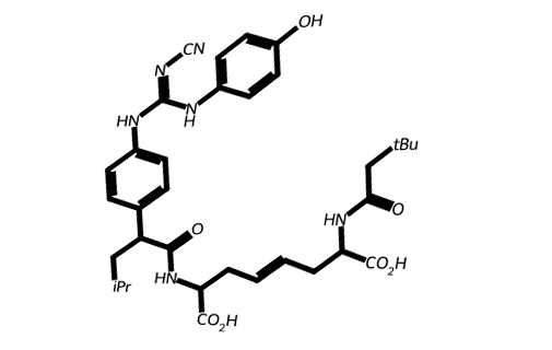 CC(C)CC(C(=O)NC(CC=CCC(NC(=O)CC(C)(C)C)C(=O)O)C(=O)O)c1ccc(NC(=NC#N)Nc2ccc(O)cc2)cc1